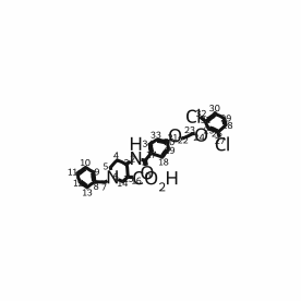 O=C(NC1CCN(Cc2ccccc2)CC1C(=O)O)c1ccc(OCCOc2c(Cl)cccc2Cl)cc1